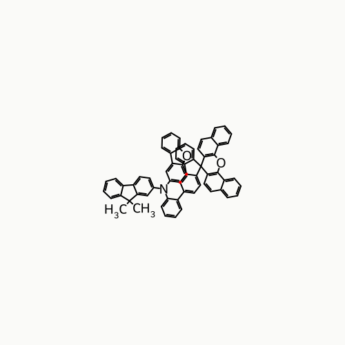 CC1(C)c2ccccc2-c2ccc(N(c3ccc4oc5ccccc5c4c3)c3ccccc3-c3ccc4c(c3)-c3ccccc3C43c4ccc5ccccc5c4Oc4c3ccc3ccccc43)cc21